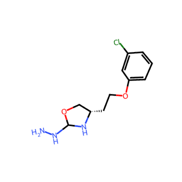 NNC1N[C@@H](CCOc2cccc(Cl)c2)CO1